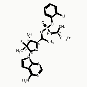 CCOC(=O)[C@H](C)NP(=O)(Oc1ccccc1Cl)OC(C)[C@H]1O[C@@H](n2ccc3c(N)ncnc32)[C@](C)(F)[C@@H]1O